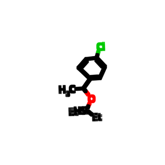 CC[SiH](CC)OC(C)c1ccc(Cl)cc1